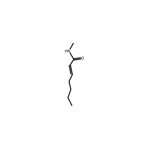 CCCCC=CC(=O)NC